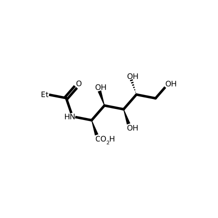 CCC(=O)N[C@H](C(=O)O)[C@@H](O)[C@H](O)[C@H](O)CO